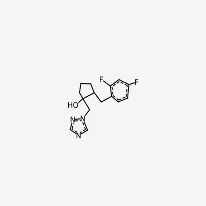 OC1(Cn2cncn2)CCCC1Cc1ccc(F)cc1F